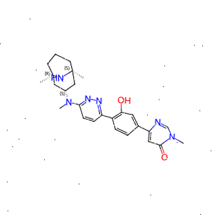 CN(c1ccc(-c2ccc(-c3cc(=O)n(C)cn3)cc2O)nn1)[C@H]1C[C@]2(C)CCC[C@](C)(C1)N2